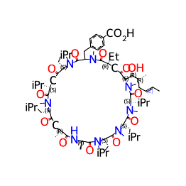 C/C=C/C[C@@H](C)[C@@H](O)[C@H]1C(=O)C[C@@H](CC)C(=O)N(C)C(Cc2ccc(C(=O)O)cc2)C(=O)N(C)[C@@H](CC(C)C)C(=O)C[C@@H](C(C)C)C(=O)N(C)[C@@H](CC(C)C)C(=O)C[C@@H](C)C(=O)N[C@H](C)C(=O)N(C)[C@@H](CC(C)C)C(=O)N(C)[C@@H](CC(C)C)C(=O)N(C)[C@@H](C(C)C)C(=O)N1C